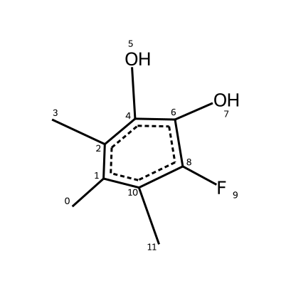 Cc1c(C)c(O)c(O)c(F)c1C